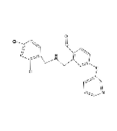 O=[S+]c1ccc(Oc2cccnc2)cc1CNCc1ccc(Cl)cc1Cl